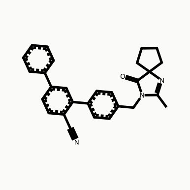 CC1=NC2(CCCC2)C(=O)N1Cc1ccc(-c2cc(-c3ccccc3)ccc2C#N)cc1